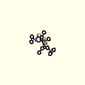 C=C1/C=C(n2c3ccccc3c3ccccc32)\C=C/CN(c2cc(-n3c4ccc(-c5ccccc5)cc4c4cc(-n5c6ccccc6c6ccccc65)ccc43)nc(-c3ccccc3)n2)c2ccc(-c3ccccc3)cc21